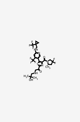 C[C@H]1CC(F)(F)CN1C(=O)c1nc(C(=O)CNCC(C)(C)O)sc1-c1cnc(NCC2(C(F)(F)F)CC2)cc1C(F)(F)F